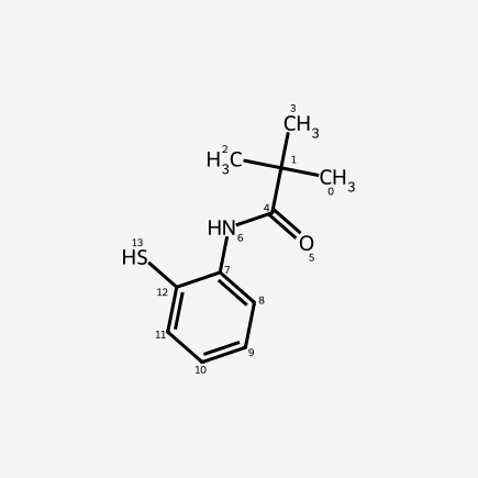 CC(C)(C)C(=O)Nc1ccccc1S